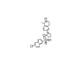 CC1NCCc2cc(N3CC[C@H](NS(=O)(=O)c4ccc5cc(Cl)ccc5c4)C3=O)ccc21